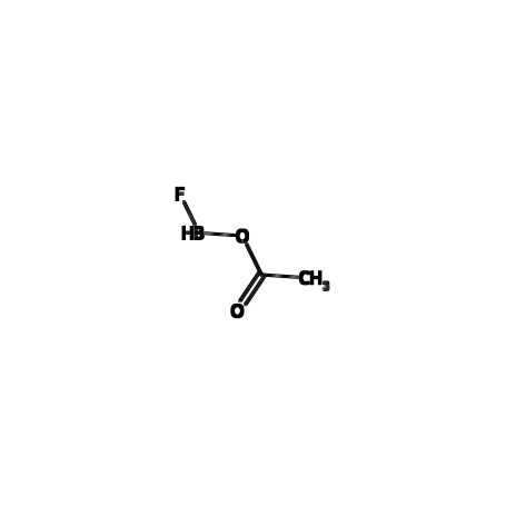 CC(=O)OBF